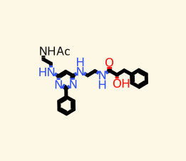 CC(=O)NCCNc1cc(NCCNC(=O)C(O)Cc2ccccc2)nc(-c2ccccc2)n1